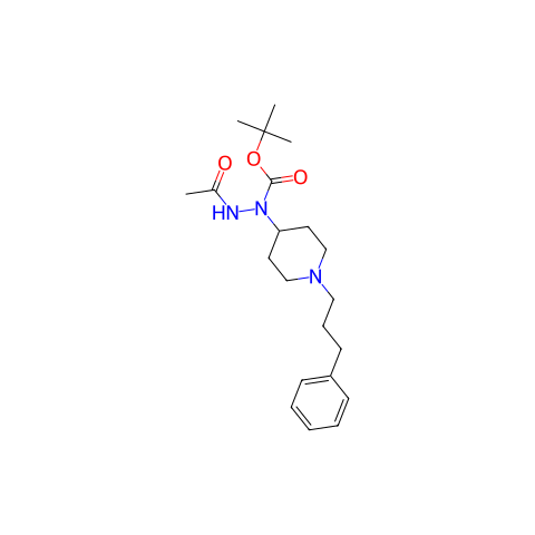 CC(=O)NN(C(=O)OC(C)(C)C)C1CCN(CCCc2ccccc2)CC1